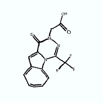 O=C(O)Cn1nc(C(F)(F)F)n2c(cc3ccccc32)c1=O